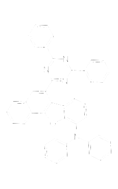 c1ccc(-c2nc(-c3ccccc3)nc(-c3cc4ccccc4c4oc5c(N(c6ccccc6)c6ccccc6)cccc5c34)n2)cc1